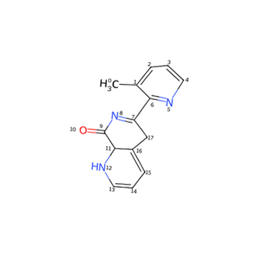 Cc1cccnc1C1=NC(=O)C2NC=CC=C2C1